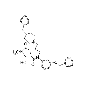 CN1CC(C(=O)N(CCCN2CCC(Cc3ccccc3)CC2)c2cccc(OCc3ccccc3)c2)CC1=O.Cl